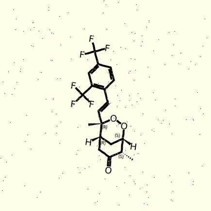 C[C@@H]1C(=O)C[C@H]2C[C@@H]1OO[C@@]2(C)C=Cc1ccc(C(F)(F)F)cc1C(F)(F)F